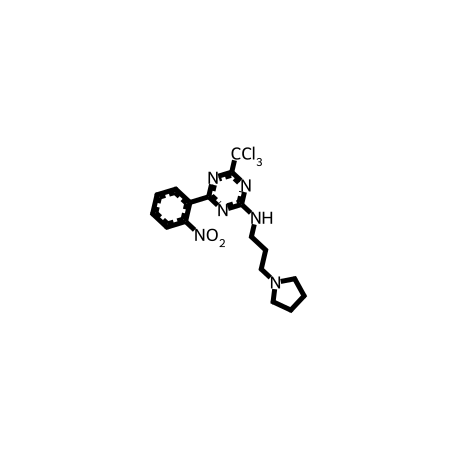 O=[N+]([O-])c1ccccc1-c1nc(NCCCN2CCCC2)nc(C(Cl)(Cl)Cl)n1